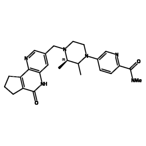 CNC(=O)c1ccc(N2CCN(Cc3cnc4c5c(c(=O)[nH]c4c3)CCC5)[C@H](C)C2C)cn1